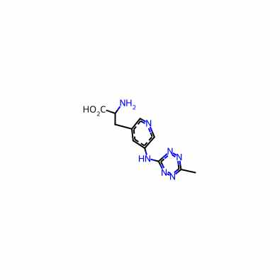 Cc1nnc(Nc2cncc(CC(N)C(=O)O)c2)nn1